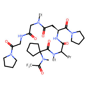 CCN(CC(=O)NCC(=O)N1CCCC1)C(=O)C[C@H](NC(=O)C(C(C)C)N(CC)C(=O)C1(N(C)C(=O)C(F)(F)F)CCCC1)C(=O)N1CCCC1